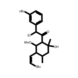 CCCCc1cccc(C(CC)C(=O)C2C(OC)C(/C=C\C(C)(C)C)C(C)CC2(C)O)c1